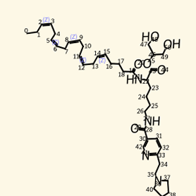 CC/C=C\C/C=C\C/C=C\C/C=C\C/C=C\CCCC(=O)NC(CCCCNC(=O)c1ccc(CCN2CCCC2)nc1)C(=O)OC(CO)CO